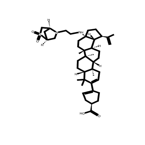 C=C(C)[C@@H]1CC[C@]2(NCCN3C[C@@H]4C[C@H]3CS4(=O)=O)CC[C@]3(C)[C@H](CC[C@@H]4[C@@]5(C)CC=C(C6=CC[C@H](C(=O)O)CC6)C(C)(C)[C@@H]5CC[C@]43C)[C@@H]12